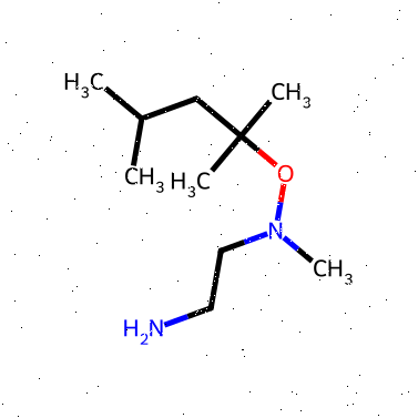 CC(C)CC(C)(C)ON(C)CCN